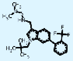 CN(C)SNCc1cn(CC(C)(C)C)c2cc(-c3ccccc3C(F)(F)F)ccc12